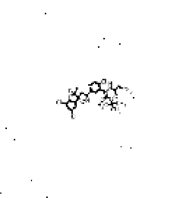 C=CC(=O)NN(C(=O)OC(C)(C)C)c1cc(C2=NOC(c3cc(Cl)cc(Cl)c3)(C(F)(F)F)C2)ccc1Cl